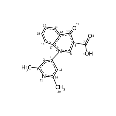 Cc1cc(-n2cc(C(=O)O)c(=O)c3ccccc32)cc(C)n1